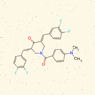 CN(C)c1ccc(C(=O)N2CC(=Cc3ccc(F)c(F)c3)C(=O)C(=Cc3ccc(F)c(F)c3)C2)cc1